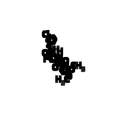 COc1ccc(-n2c(=O)[nH]c3cc(C(=O)NCc4cccc(Cl)c4)c(F)cc3c2=O)nc1OC